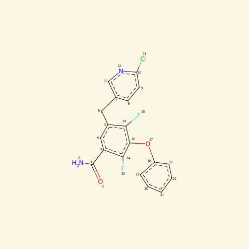 NC(=O)c1cc([CH]c2ccc(Cl)nc2)c(F)c(Oc2ccccc2)c1F